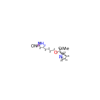 COC(OCCCCCCP(N)N=O)C1CC2C=CN1C2